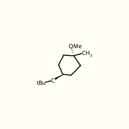 CO[C@]1(C)CC[C@@H](CC(C)(C)C)CC1